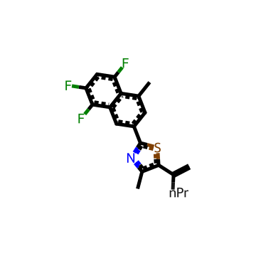 C=C(CCC)c1sc(-c2cc(C)c3c(F)cc(F)c(F)c3c2)nc1C